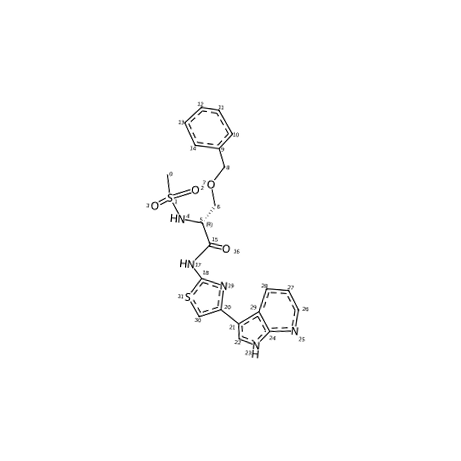 CS(=O)(=O)N[C@H](COCc1ccccc1)C(=O)Nc1nc(-c2c[nH]c3ncccc23)cs1